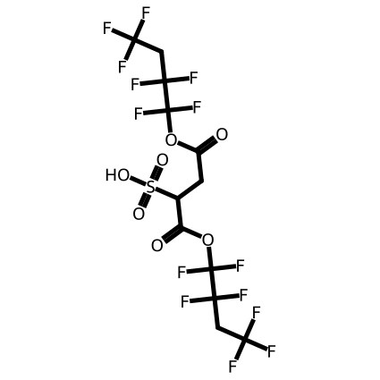 O=C(CC(C(=O)OC(F)(F)C(F)(F)CC(F)(F)F)S(=O)(=O)O)OC(F)(F)C(F)(F)CC(F)(F)F